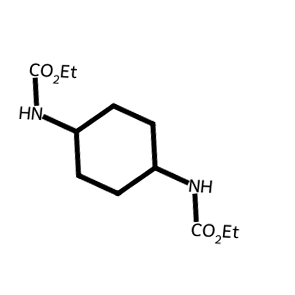 CCOC(=O)NC1CCC(NC(=O)OCC)CC1